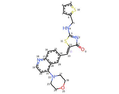 O=C1N=C(NCc2cccs2)S/C1=C\c1ccc2nccc(N3CCOCC3)c2c1